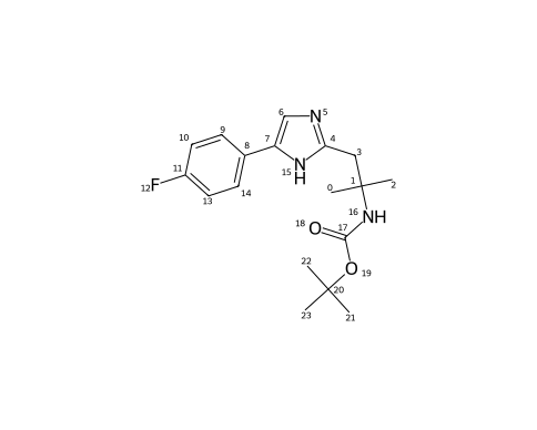 CC(C)(Cc1ncc(-c2ccc(F)cc2)[nH]1)NC(=O)OC(C)(C)C